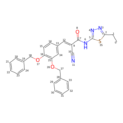 CCc1nnc(NC(=O)/C(C#N)=C/c2ccc(OCc3ccccc3)c(OCc3ccccc3)c2)s1